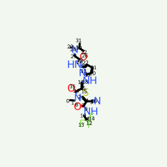 CCn1c(=C(C#N)C(=O)NCC(F)(F)F)sc(=CNc2cccc(NC(=O)CN(C)C(C)C)n2)c1=O